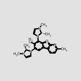 Cc1ccc2c(n1)oc1c(N3C=CN(C)[C@@H]3C)c(C)c(N3C=CN(C)[C@H]3C)cc12